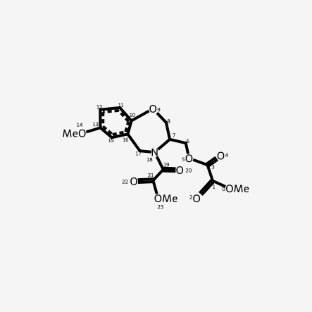 COC(=O)C(=O)OCC1COc2ccc(OC)cc2CN1C(=O)C(=O)OC